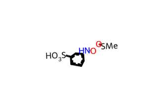 CSOONc1cccc(S(=O)(=O)O)c1